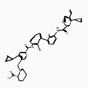 Cc1c(NC(=O)c2cc(C3CC3)c(C=O)cn2)cccc1-c1cccc(NC(=O)c2cc(C3CC3)c(CN3CCCC[C@H]3C(=O)O)cn2)c1C